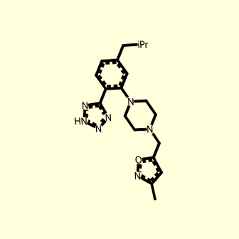 Cc1cc(CN2CCN(c3cc(CC(C)C)ccc3-c3nn[nH]n3)CC2)on1